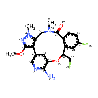 COc1nn(C)c2c1-c1cnc(N)c(c1)OC(CF)c1cc(F)ccc1C(=O)N(C)C2